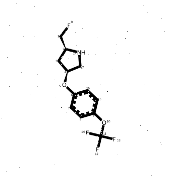 FC[C@@H]1C[C@H](Oc2ccc(OC(F)(F)F)cc2)CN1